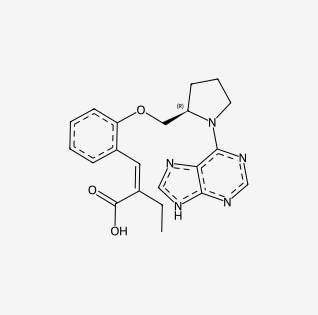 CCC(=Cc1ccccc1OC[C@H]1CCCN1c1ncnc2[nH]cnc12)C(=O)O